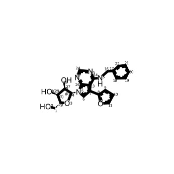 OC[C@H]1O[C@@H](n2cc(-c3ccco3)c3c(NCc4ccccc4)ncnc32)[C@H](O)[C@@H]1O